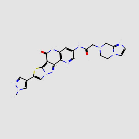 Cn1cc(-c2cn3nc4c5ncc(NC(=O)CN6CCn7ccnc7C6)cc5[nH]c(=O)c4c3s2)cn1